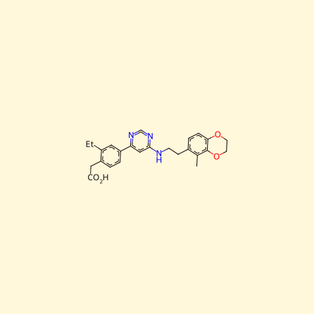 CCc1cc(-c2cc(NCCc3ccc4c(c3C)OCCO4)ncn2)ccc1CC(=O)O